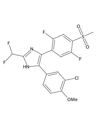 COc1ccc(-c2[nH]c(C(F)F)nc2-c2cc(F)c(S(C)(=O)=O)cc2F)cc1Cl